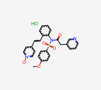 COc1ccc(S(=O)(=O)N(C(=O)Cc2cccnc2)c2ccccc2C=Cc2cc[n+]([O-])cc2)cc1.Cl